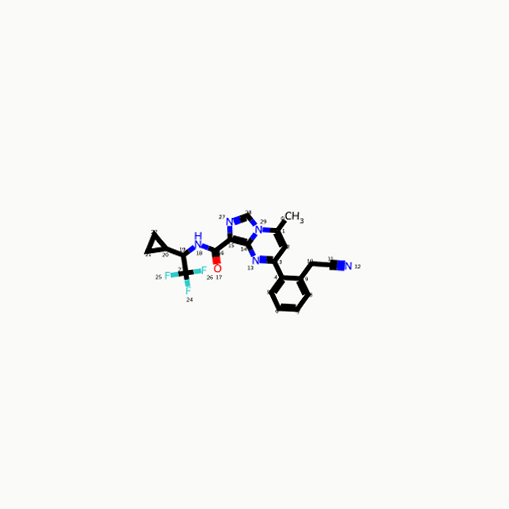 Cc1cc(-c2ccccc2CC#N)nc2c(C(=O)NC(C3CC3)C(F)(F)F)ncn12